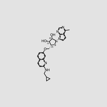 Cc1ncnc2c1ccn2[C@@H]1S[C@H](COc2ccc3ccc(NCC4CC4)nc3c2)[C@@H](O)[C@H]1O